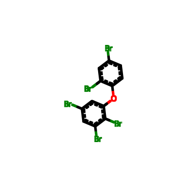 Brc1ccc(Oc2cc(Br)cc(Br)c2Br)c(Br)c1